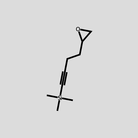 C[Si](C)(C)C#CCCC1CO1